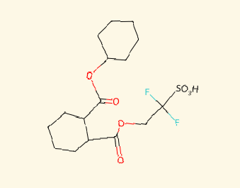 O=C(OCC(F)(F)S(=O)(=O)O)C1CCCCC1C(=O)OC1CCCCC1